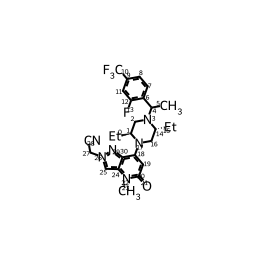 CC[C@H]1CN(C(C)c2ccc(C(F)(F)F)cc2F)[C@H](CC)CN1c1cc(=O)n(C)c2cn(CC#N)nc12